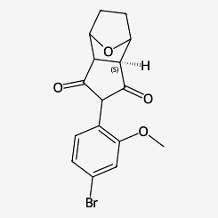 COc1cc(Br)ccc1C1C(=O)C2C3CCC(O3)[C@H]2C1=O